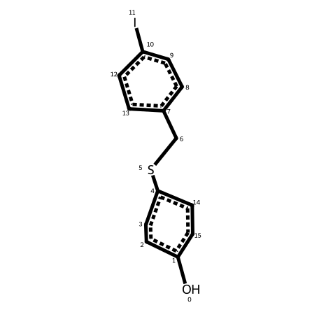 Oc1ccc(SCc2ccc(I)cc2)cc1